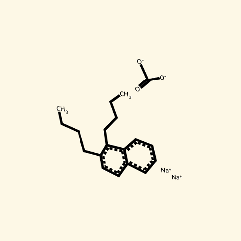 CCCCc1ccc2ccccc2c1CCCC.O=C([O-])[O-].[Na+].[Na+]